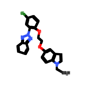 O=C(O)Cn1ccc2cc(OCCOc3ccc(Cl)cc3-n3nc4ccccc4n3)ccc21